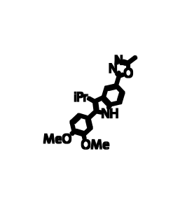 COc1ccc(-c2[nH]c3ccc(-c4nnc(C)o4)cc3c2C(C)C)cc1OC